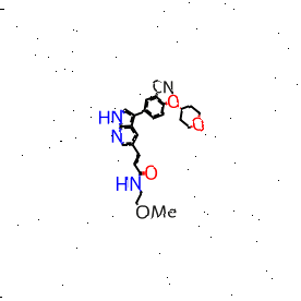 COCCNC(=O)C=Cc1cnc2[nH]cc(-c3ccc(OC4CCOCC4)c(C#N)c3)c2c1